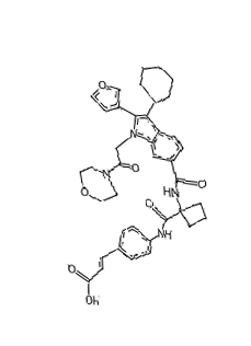 O=C(O)/C=C/c1ccc(NC(=O)C2(NC(=O)c3ccc4c(C5CCCCC5)c(-c5ccoc5)n(CC(=O)N5CCOCC5)c4c3)CCC2)cc1